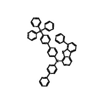 c1ccc(-c2ccc(N(c3ccc(-c4ccc([Si](c5ccccc5)(c5ccccc5)c5ccccc5)cc4)cc3)c3cccc4c3sc3c(-c5ccccc5)cccc34)cc2)cc1